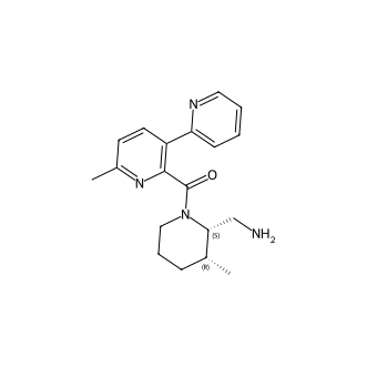 Cc1ccc(-c2ccccn2)c(C(=O)N2CCC[C@@H](C)[C@H]2CN)n1